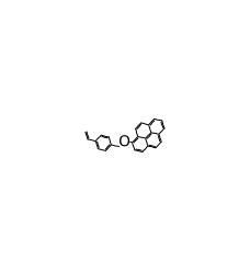 C=Cc1ccc(COc2ccc3ccc4cccc5ccc2c3c45)cc1